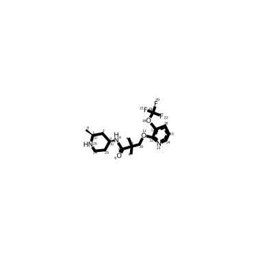 C[C@H]1C[C@@H](NC(=O)C(C)(C)COc2ncccc2OC(F)(F)F)CCN1